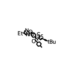 CCc1cnc(OC2CCC(N(C(=O)C3CCC(C)CC3)c3cc(C#CC(C)(C)C)sc3C(=O)O)CC2)nc1